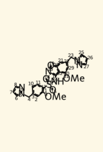 COc1cc(Cn2cccn2)ccc1S(=O)(=O)Nc1noc2cc(Cn3cccn3)cc(OC)c12